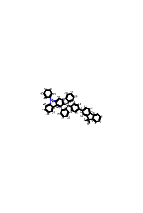 CC1(C)c2ccccc2-c2ccc(-c3ccc([Si](c4ccccc4)(c4ccccc4)c4ccc5c(c4)c4ccccc4n5C4=CCCC=C4)cc3)cc21